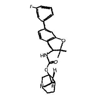 CC1(C)Oc2cc(-c3cccc(F)c3)ccc2C1NC(=O)O[C@H]1CN2CCC1CC2